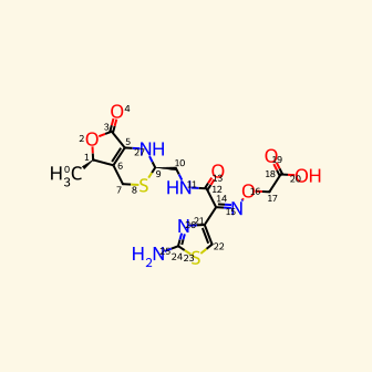 C[C@H]1OC(=O)C2=C1CS[C@H](CNC(=O)/C(=N\OCC(=O)O)c1csc(N)n1)N2